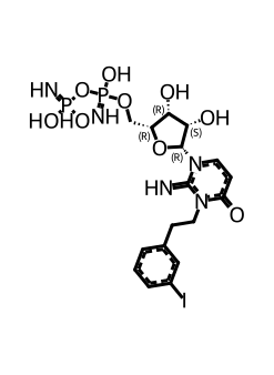 N=c1n([C@@H]2O[C@H](COP(=N)(O)OP(=N)(O)O)[C@H](O)[C@@H]2O)ccc(=O)n1CCc1cccc(I)c1